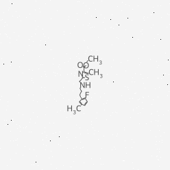 CCOC(=O)c1nc(CNCCCc2cc(C)ccc2F)sc1C